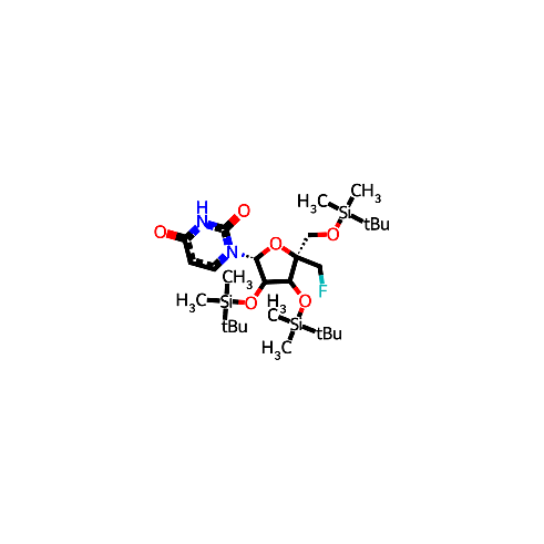 CC(C)(C)[Si](C)(C)OC[C@@]1(CF)O[C@@H](n2ccc(=O)[nH]c2=O)C(O[Si](C)(C)C(C)(C)C)C1O[Si](C)(C)C(C)(C)C